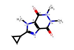 Cn1c(C2CC2)nc2c(=O)n(C)n(C)c(=O)c21